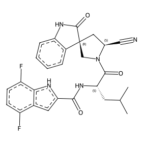 CC(C)C[C@H](NC(=O)c1cc2c(F)ccc(F)c2[nH]1)C(=O)N1C[C@]2(C[C@H]1C#N)C(=O)Nc1ccccc12